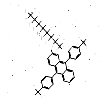 FC(F)(F)c1ccc(-c2c3ccccc3c(-c3ccc(C(F)(F)F)cc3)c3cc(OC(F)(C(F)(F)F)C(F)(F)C(F)(F)C(F)(F)C(F)(F)C(F)(F)C(F)(F)F)ccc23)cc1